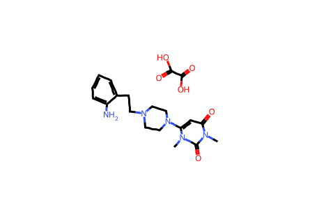 Cn1c(N2CCN(CCc3ccccc3N)CC2)cc(=O)n(C)c1=O.O=C(O)C(=O)O